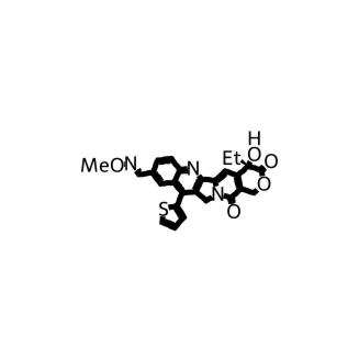 CC[C@@]1(O)C(=O)OCc2c1cc1n(c2=O)Cc2c-1nc1ccc(C=NOC)cc1c2-c1cccs1